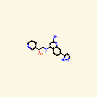 Nc1cc(NCC(O)c2cccnc2)c2ccc(-c3ccn[nH]3)cc2n1